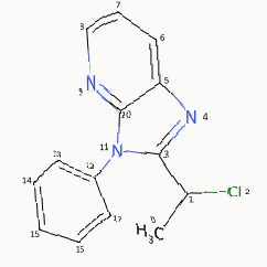 CC(Cl)c1nc2cccnc2n1-c1ccccc1